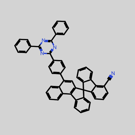 N#Cc1cccc2c1-c1ccccc1C21c2ccccc2-c2c1cc(-c1ccc(-c3nc(-c4ccccc4)nc(-c4ccccc4)n3)cc1)c1ccccc21